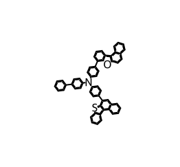 c1ccc(-c2ccc(N(c3ccc(-c4cccc5c4oc4ccc6ccccc6c45)cc3)c3ccc(-c4cc5ccccc5c5c4sc4ccccc45)cc3)cc2)cc1